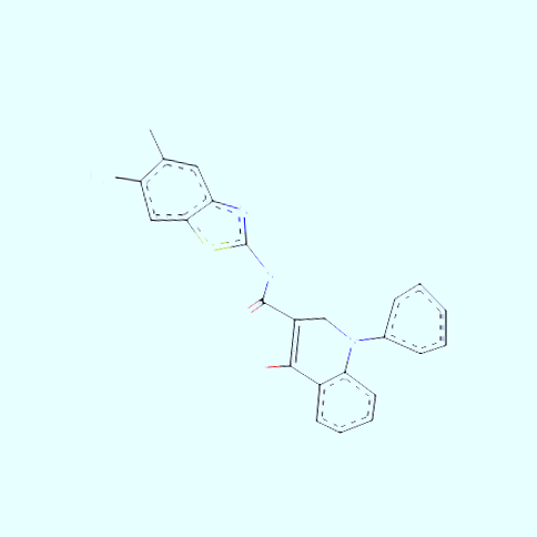 Cc1cc2nc(NC(=O)C3=C(O)c4ccccc4N(c4ccccc4)C3)sc2cc1C